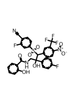 N#Cc1ccc(S(=O)(=O)C(c2ccc([N+](=O)[O-])c(C(F)(F)F)c2)C(O)(CNC(=O)c2ccccc2O)c2ccc(F)cc2)cc1F